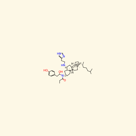 CCC(=O)N(C(O)Cc1ccc(O)cc1)[C@H]1CC[C@@]2(C)C(C1)[C@H](NCCc1c[nH]cn1)C[C@H]1[C@@H]3CC[C@H](C(C)CCCC(C)C)[C@@]3(C)CC[C@@H]12